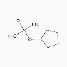 CC(C)([O])OC1CCCC1